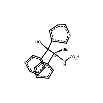 CC(C)(C)[C@@](NC(=O)O)(c1ccccc1)C(O)(c1cccnc1)c1cccnc1